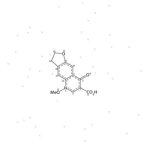 COn1cc(C(=O)O)c(=O)c2cc3c(cc21)CCO3